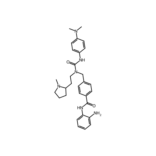 CN(C)c1ccc(NC(=O)N(CCC2CCCN2C)Cc2ccc(C(=O)Nc3ccccc3N)cc2)cc1